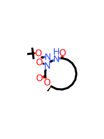 C[C@@H]1CCCCCCCCCC(=O)N/C(=N/C(=O)OC(C)(C)C)N(C)CC(=O)O1